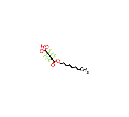 CCCCCCCCOC(=O)C(F)(F)C(F)(F)C(F)(F)C(=O)O